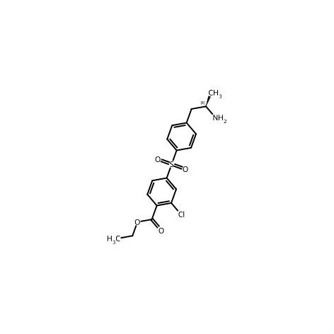 CCOC(=O)c1ccc(S(=O)(=O)c2ccc(C[C@@H](C)N)cc2)cc1Cl